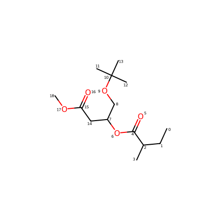 CCC(C)C(=O)OC(COC(C)(C)C)CC(=O)OC